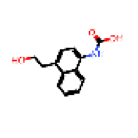 O=C(O)Nc1ccc(CCO)c2ccccc12